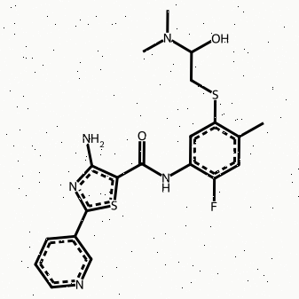 Cc1cc(F)c(NC(=O)c2sc(-c3cccnc3)nc2N)cc1SCC(O)N(C)C